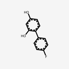 Oc1ccc(-c2[c]cc(F)cc2)c(O)c1